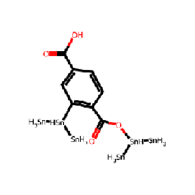 O=C(O)c1ccc(C(=O)[O][SnH]([SnH3])[SnH3])[c]([SnH]([SnH3])[SnH3])c1